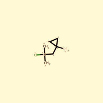 C[Si](C)(Cl)CC1(C(F)(F)F)CC1